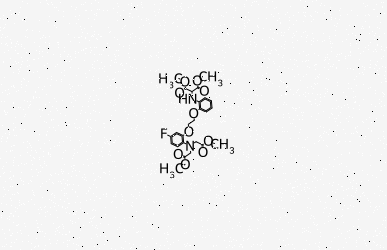 COC(=O)CN(CC(=O)OC)c1ccc(F)cc1OCCOc1ccccc1NC(C(=O)OC)C(=O)OC